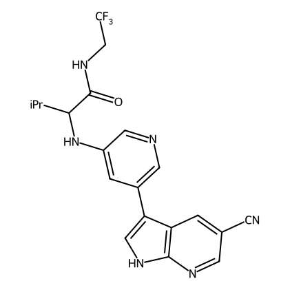 CC(C)C(Nc1cncc(-c2c[nH]c3ncc(C#N)cc23)c1)C(=O)NCC(F)(F)F